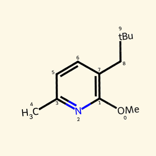 COc1nc(C)ccc1CC(C)(C)C